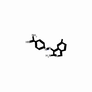 Cc1ccc2cnc(N)c(/N=N/c3ccc(C(=N)N)cc3)c2c1